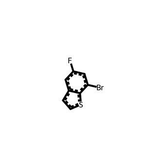 Fc1cc(Br)c2sccc2c1